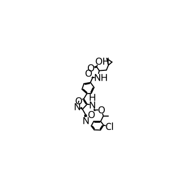 CC(OC(=O)Nc1c(C#N)noc1-c1ccc(C(=O)NC(CC2CC2)C(=O)O)cc1)c1ccccc1Cl